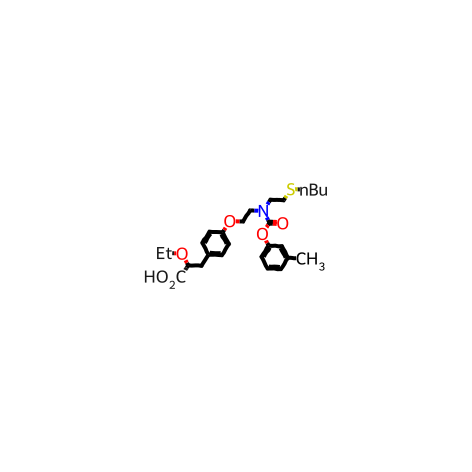 CCCCSCCN(CCOc1ccc(CC(OCC)C(=O)O)cc1)C(=O)Oc1cccc(C)c1